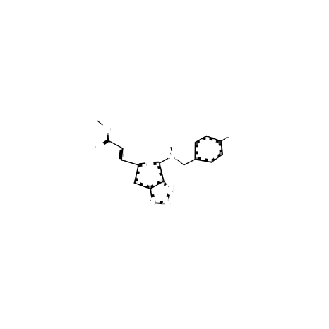 COC(=O)/C=C/c1cc(N(C)Cc2ccc(F)cc2)c2nonc2c1